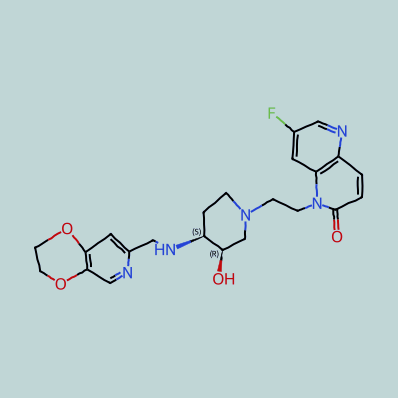 O=c1ccc2ncc(F)cc2n1CCN1CC[C@H](NCc2cc3c(cn2)OCCO3)[C@H](O)C1